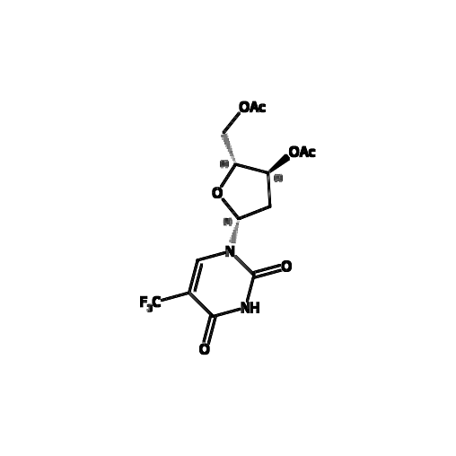 CC(=O)OC[C@H]1O[C@@H](n2cc(C(F)(F)F)c(=O)[nH]c2=O)C[C@@H]1OC(C)=O